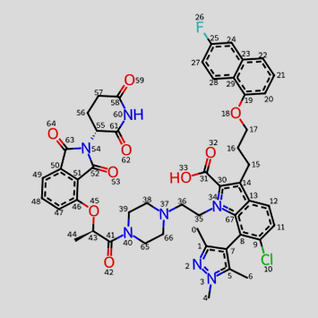 Cc1nn(C)c(C)c1-c1c(Cl)ccc2c(CCCOc3cccc4cc(F)ccc34)c(C(=O)O)n(CCN3CCN(C(=O)[C@@H](C)Oc4cccc5c4C(=O)N([C@@H]4CCC(=O)NC4=O)C5=O)CC3)c12